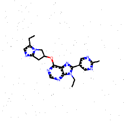 CCc1cnc2n1CC(Oc1ncnc3c1nc(-c1cnc(C)nc1)n3CC)C2